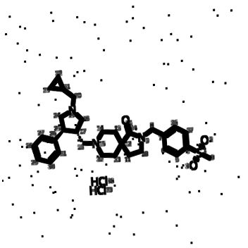 CS(=O)(=O)c1ccc(CN2CCC3(CCN(C[C@H]4CN(CC5CC5)C[C@@H]4c4ccccc4)CC3)C2=O)cc1.Cl.Cl